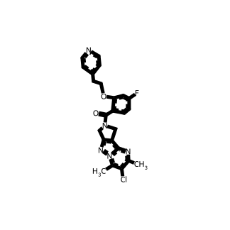 Cc1nc2c3c(nn2c(C)c1Cl)CN(C(=O)c1ccc(F)cc1OCCc1ccncc1)C3